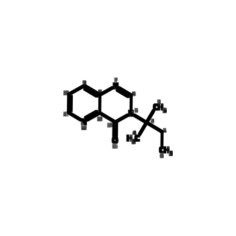 CCC(C)(C)n1cnc2cccnc2c1=O